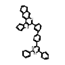 c1ccc(-c2cc(-c3ccc(-c4cccc(-c5nc6cc7ccccc7cc6c6c5oc5ccccc56)c4)cc3)nc(-c3ccccc3)n2)cc1